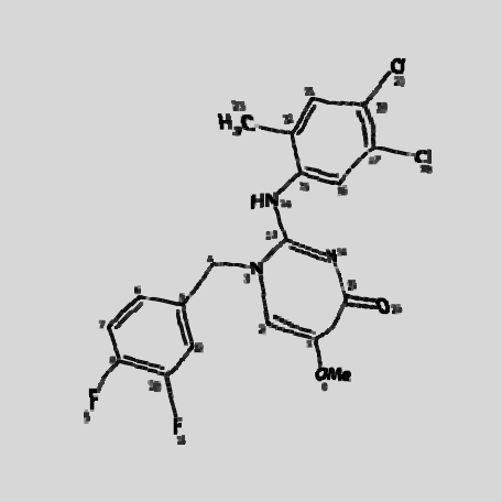 COc1cn(Cc2ccc(F)c(F)c2)c(Nc2cc(Cl)c(Cl)cc2C)nc1=O